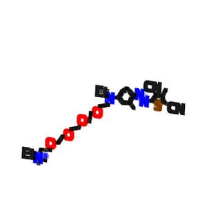 [C-]#[N+]c1c(/N=N/c2ccc(N(CC)CCOCCOCCOCCOCC[N+](C)(C)CC)cc2C)sc(C#N)c1C